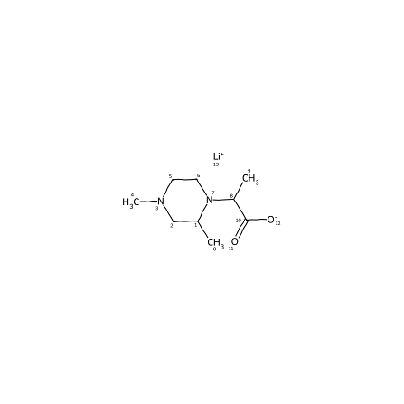 CC1CN(C)CCN1C(C)C(=O)[O-].[Li+]